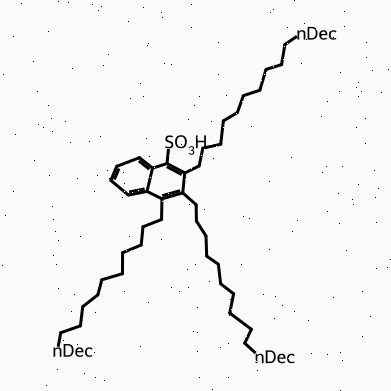 CCCCCCCCCCCCCCCCCCCCc1c(CCCCCCCCCCCCCCCCCCCC)c(S(=O)(=O)O)c2ccccc2c1CCCCCCCCCCCCCCCCCCCC